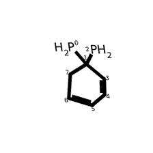 PC1(P)C=CC=CC1